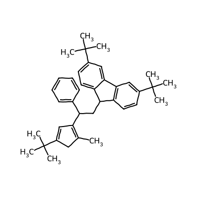 CC1=C(C(CC2c3ccc(C(C)(C)C)cc3-c3cc(C(C)(C)C)ccc32)c2ccccc2)C=C(C(C)(C)C)C1